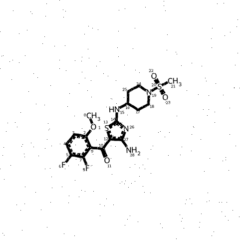 COc1ccc(F)c(F)c1C(=O)c1sc(NC2CCN(S(C)(=O)=O)CC2)nc1N